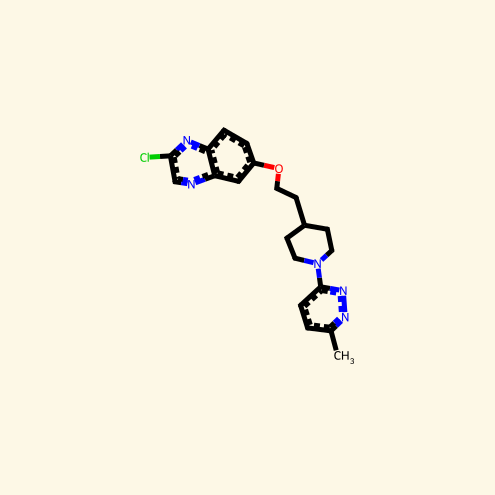 Cc1ccc(N2CCC(CCOc3ccc4nc(Cl)cnc4c3)CC2)nn1